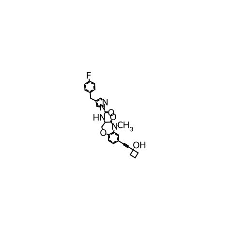 CN1C(=O)C(NC(=O)n2cc(Cc3ccc(F)cc3)cn2)COc2ccc(C#CC3(O)CCC3)cc21